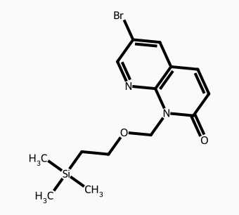 C[Si](C)(C)CCOCn1c(=O)ccc2cc(Br)cnc21